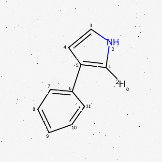 [2H]c1[nH]ccc1-c1ccccc1